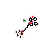 CO[Si](CCCCCCCCOc1ccc(O)cc1[P+](C1CCCCC1)(C1CCCCC1)C1CCCCC1)(OC)OC.[Br-]